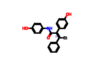 CC/C(=C(/C(=O)Nc1ccc(O)cc1)c1ccc(O)cc1)c1ccccc1